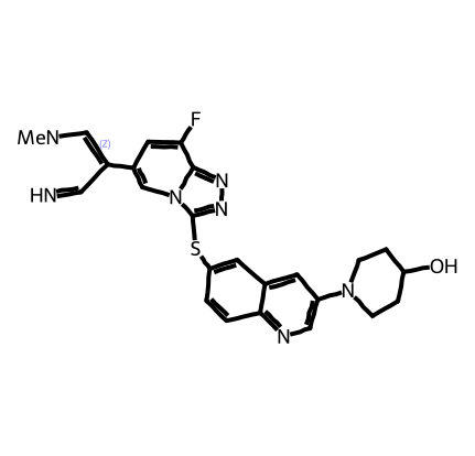 CN/C=C(\C=N)c1cc(F)c2nnc(Sc3ccc4ncc(N5CCC(O)CC5)cc4c3)n2c1